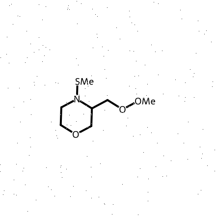 COOCC1COCCN1SC